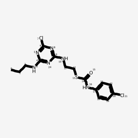 CCCNc1nc(Cl)nc(NCCSC(=O)Nc2ccc(Cl)cc2)n1